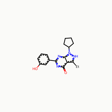 CCc1[nH]n(C2CCCC2)c2nc(-c3cccc(O)c3)nc(=O)c1-2